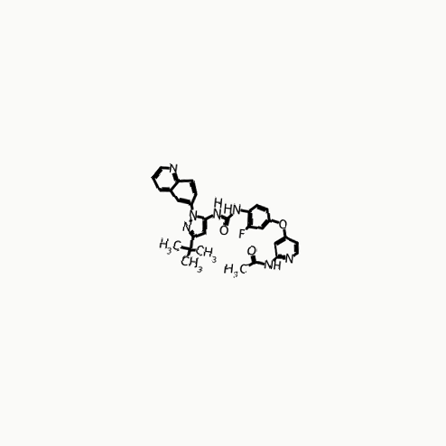 CC(=O)Nc1cc(Oc2ccc(NC(=O)Nc3cc(C(C)(C)C)nn3-c3ccc4ncccc4c3)c(F)c2)ccn1